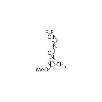 COCc1cc(C)c2c(n1)CN(C(=O)CC1CN(c3ccnc(OC(F)F)c3)C1)C2